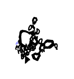 COc1ccc2c(O[C@@H]3C[C@H]4C(=O)N[C@]5(C(=O)NS(=O)(=O)C6CC6)C[C@H]5/C=C\CCCCC[C@H](CC(=O)N5CCCCC5)C(=O)N4C3)cc(-c3ccccc3)nc2c1